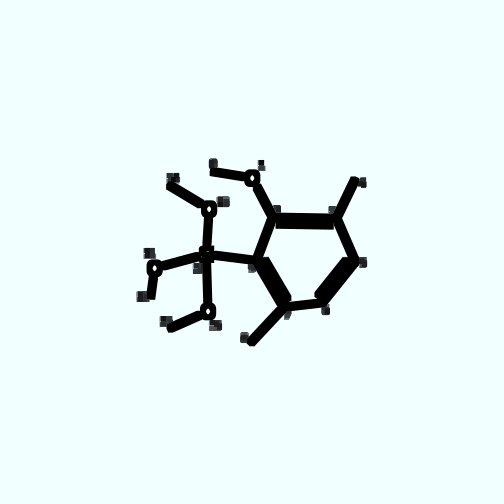 COc1c(C)ccc(C)c1[Si](OC)(OC)OC